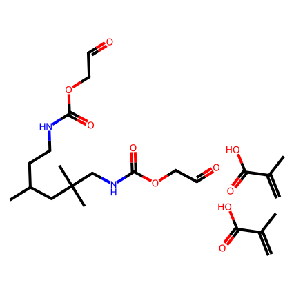 C=C(C)C(=O)O.C=C(C)C(=O)O.CC(CCNC(=O)OCC=O)CC(C)(C)CNC(=O)OCC=O